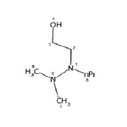 CCCN(CCO)N(C)C